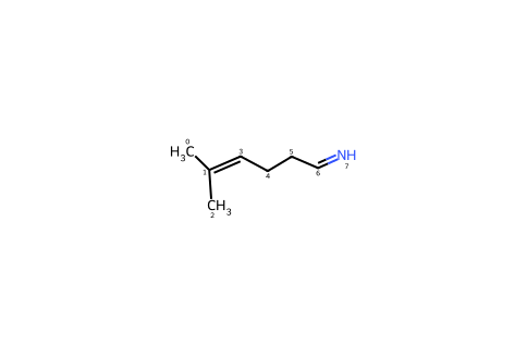 CC(C)=CCCC=N